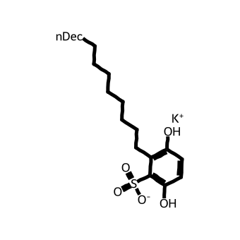 CCCCCCCCCCCCCCCCCCc1c(O)ccc(O)c1S(=O)(=O)[O-].[K+]